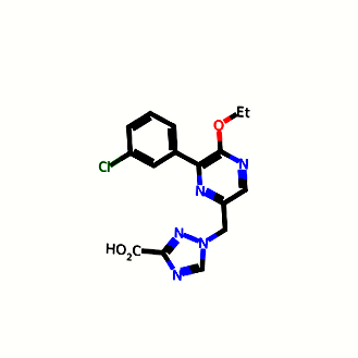 CCOc1ncc(Cn2cnc(C(=O)O)n2)nc1-c1cccc(Cl)c1